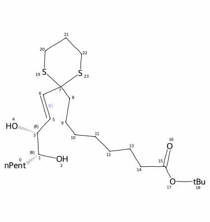 CCCCC[C@@H](O)[C@H](O)/C=C/C1(CCCCCCCC(=O)OC(C)(C)C)SCCCS1